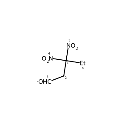 CCC(C[C]=O)([N+](=O)[O-])[N+](=O)[O-]